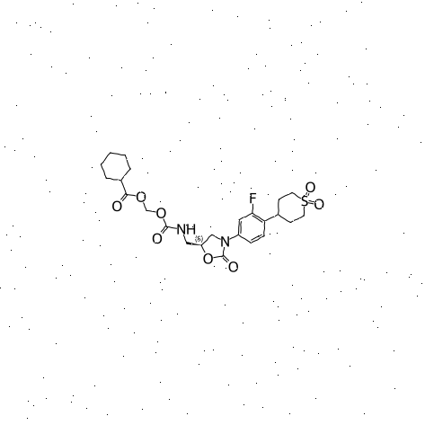 O=C(NC[C@H]1CN(c2ccc(C3CCS(=O)(=O)CC3)c(F)c2)C(=O)O1)OCOC(=O)C1CCCCC1